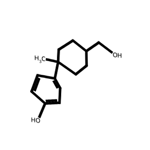 CC1(c2ccc(O)cc2)CCC(CO)CC1